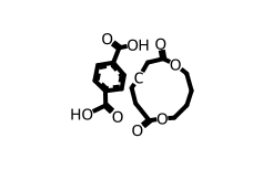 O=C(O)c1ccc(C(=O)O)cc1.O=C1CCCCC(=O)OCCCCO1